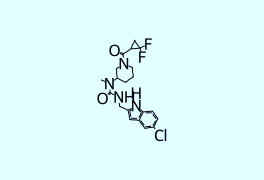 CN(C(=O)NCc1cc2cc(Cl)ccc2[nH]1)C1CCCN(C(=O)C2CC2(F)F)C1